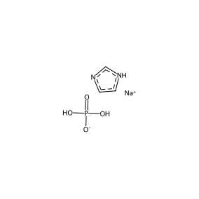 O=P([O-])(O)O.[Na+].c1c[nH]cn1